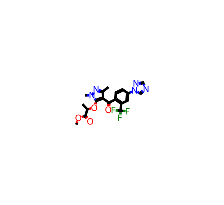 COC(=O)C(C)Oc1c(C(=O)c2ccc(-n3cncn3)cc2C(F)(F)F)c(C)nn1C